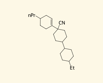 CCCC1CC=C(C2(C#N)CCC(C3CCC(CC)CC3)CC2)CC1